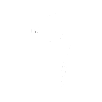 [CH2]C#CCC1CNCCO1